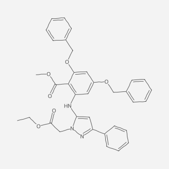 CCOC(=O)Cn1nc(-c2ccccc2)cc1Nc1cc(OCc2ccccc2)cc(OCc2ccccc2)c1C(=O)OC